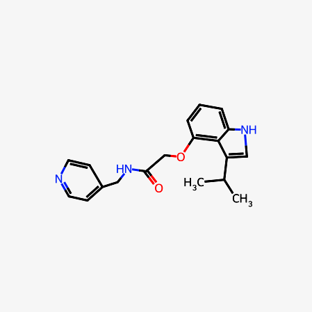 CC(C)c1c[nH]c2cccc(OCC(=O)NCc3ccncc3)c12